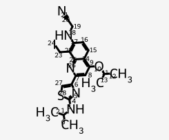 CC(C)Nc1nc(-c2cc(OC(C)C)c3ccc(NCC#N)c(CI)c3n2)cs1